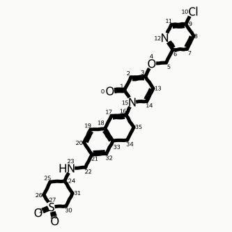 O=c1cc(OCc2ccc(Cl)cn2)ccn1C1=Cc2ccc(CNC3CCS(=O)(=O)CC3)cc2CC1